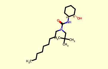 CCCCCCCCCN(CC(C)(C)C)C(=O)N[C@H]1CCCC[C@@H]1O